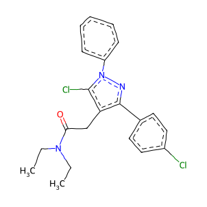 CCN(CC)C(=O)Cc1c(-c2ccc(Cl)cc2)nn(-c2ccccc2)c1Cl